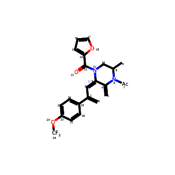 C=C(/C=C1\C(=C)N(C(C)=O)C(C)CN1C(=O)c1ccco1)c1ccc(OC(F)(F)F)cc1